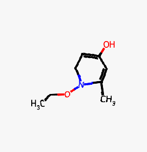 CCON1CC=C(O)C=C1C